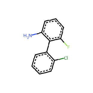 Nc1cccc(F)c1-c1ccccc1Cl